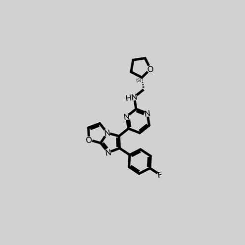 Fc1ccc(-c2nc3occn3c2-c2ccnc(NC[C@@H]3CCCO3)n2)cc1